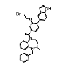 CC1CCN(C(=O)c2ccc(-c3ccc4[nH]ccc4c3)c(OCCBr)c2)c2ccccc2N1Cc1ccccc1